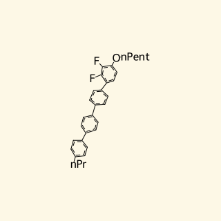 CCCCCOc1ccc(-c2ccc(-c3ccc(-c4ccc(CCC)cc4)cc3)cc2)c(F)c1F